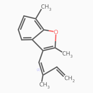 C=C/C(C)=C\c1c(C)oc2c(C)cccc12